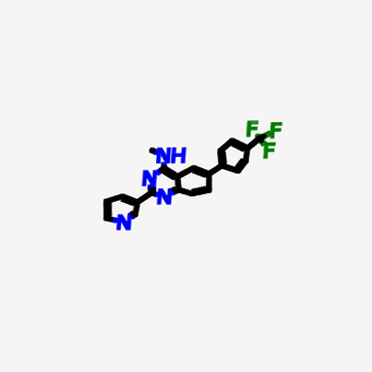 CNc1nc(-c2cccnc2)nc2ccc(-c3ccc(C(F)(F)F)cc3)cc12